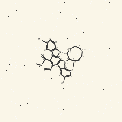 CNC(=O)c1c(C=O)c2c3cc(F)ccc3n(C3CNCCOCC[C@H]3C)c2c2[nH]c3ccc(F)cc3c12